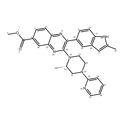 COC(=O)c1ccc2nc(-c3ccc4[nH]c(C)cc4c3)c(N3CCN(c4ccccn4)C[C@@H]3C)nc2c1